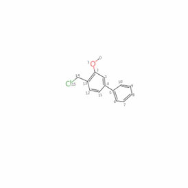 COc1cc(-c2ccccc2)ccc1CCl